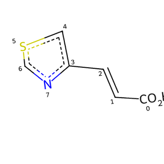 O=C(O)C=Cc1cscn1